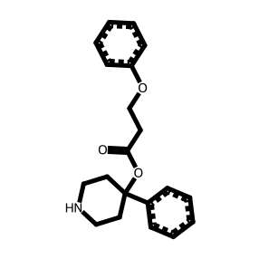 O=C(CCOc1ccccc1)OC1(c2ccccc2)CCNCC1